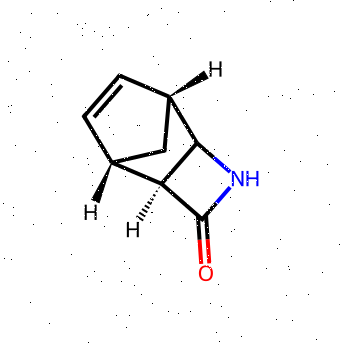 O=C1NC2[C@@H]1[C@@H]1C=C[C@H]2C1